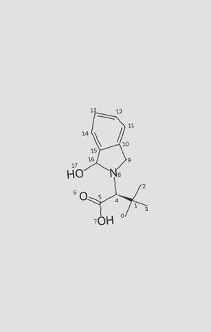 CC(C)(C)[C@@H](C(=O)O)N1Cc2ccccc2C1O